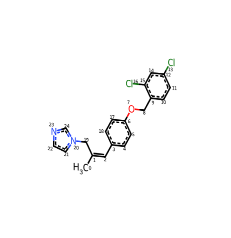 CC(=Cc1ccc(OCc2ccc(Cl)cc2Cl)cc1)Cn1ccnc1